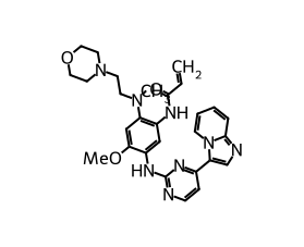 C=CC(=O)Nc1cc(Nc2nccc(-c3cnc4ccccn34)n2)c(OC)cc1N(C)CCN1CCOCC1